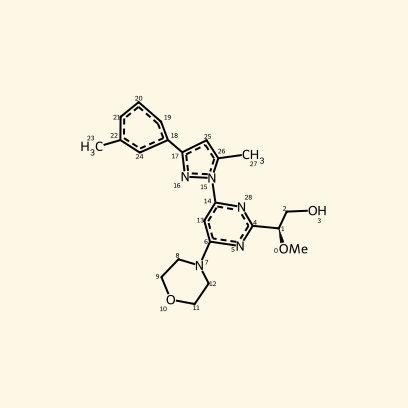 CO[C@H](CO)c1nc(N2CCOCC2)cc(-n2nc(-c3cccc(C)c3)cc2C)n1